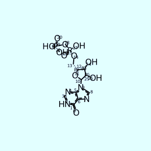 O=c1[nH]cnc2c1ncn2C1O[C@H](COP(=O)(O)OP(=O)(O)O)[C@@H](O)[C@H]1O